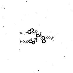 O=C(CC(C(=O)O)c1ccccc1)Nc1cc(C(=O)Nc2cccc3cc(S(=O)(=O)O)ccc23)cc(C(=O)Nc2cccc3cc(S(=O)(=O)O)ccc23)c1